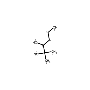 CC(C)(C#N)C(O)CCO